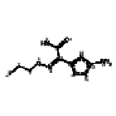 [NH]C(=O)C(=NOCCF)c1csc(N)n1